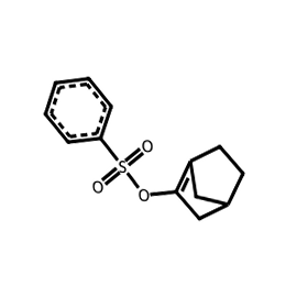 O=S(=O)(OC1=C2CCC(C2)C1)c1ccccc1